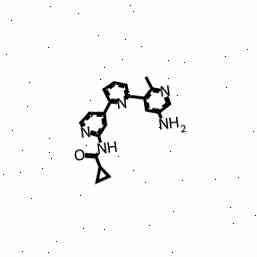 Cc1ncc(N)cc1-c1cccc(-c2ccnc(NC(=O)C3CC3)c2)n1